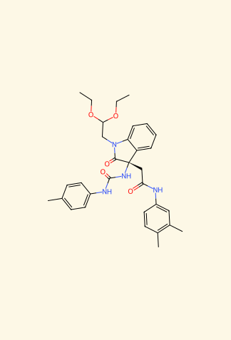 CCOC(CN1C(=O)[C@@](CC(=O)Nc2ccc(C)c(C)c2)(NC(=O)Nc2ccc(C)cc2)c2ccccc21)OCC